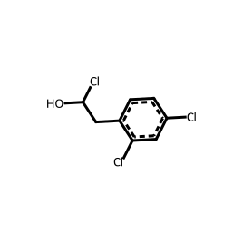 OC(Cl)Cc1ccc(Cl)cc1Cl